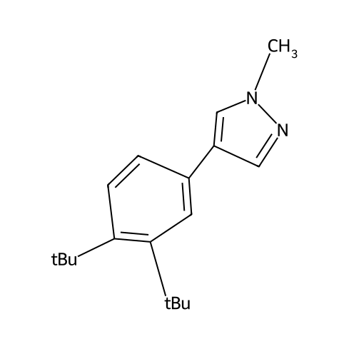 Cn1cc(-c2ccc(C(C)(C)C)c(C(C)(C)C)c2)cn1